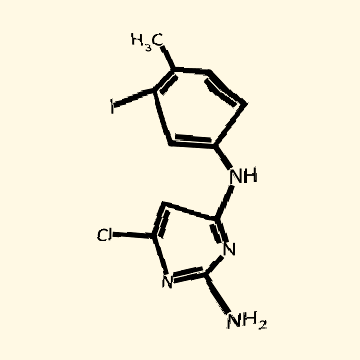 Cc1ccc(Nc2cc(Cl)nc(N)n2)cc1I